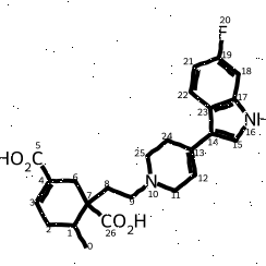 CC1CC=C(C(=O)O)CC1(CCN1CC=C(c2c[nH]c3cc(F)ccc23)CC1)C(=O)O